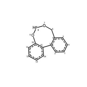 c1ccc2c(c1)COPOc1ccccc1-2